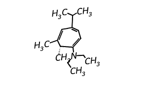 CCN(CC)C1=CC=C(C(C)C)C=C(C)[C@H]1C